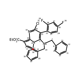 CCOC(=O)c1cnn2c(N(Cc3ccccc3)Cc3ccccc3)c(-c3ccc(F)cc3F)c(Cl)nc12